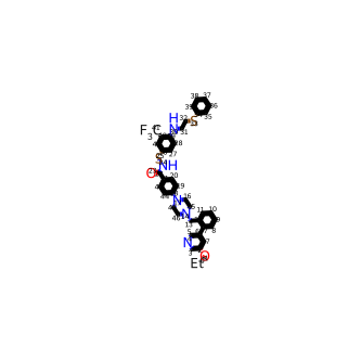 CCOc1cncc(-c2ccccc2CN2CCN(c3ccc(C(=O)NSc4ccc(NCCSc5ccccc5)c(C(F)(F)F)c4)cc3)CC2)c1